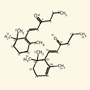 CCCC(=O)/C=C/C1=C(C)CCCC1(C)C.CCCC(=O)/C=C/C1C(C)=CCCC1(C)C